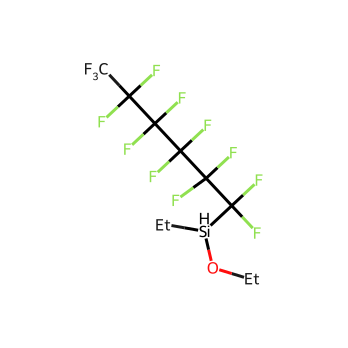 CCO[SiH](CC)C(F)(F)C(F)(F)C(F)(F)C(F)(F)C(F)(F)C(F)(F)F